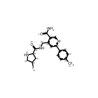 NC(=O)c1cnc(-c2ccc(C(F)(F)F)cc2)cc1CNC(=O)C1CC(F)CN1